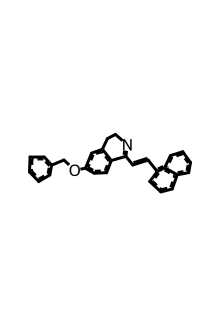 C(=Cc1cccc2ccccc12)C1=NCCc2cc(OCc3ccccc3)ccc21